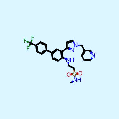 CNS(=O)(=O)CCNc1ccc(-c2ccc(C(F)(F)F)cc2)cc1-c1ccn(Cc2cccnc2)n1